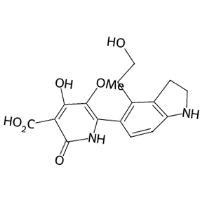 COc1c(-c2ccc3c(c2CCO)CCN3)[nH]c(=O)c(C(=O)O)c1O